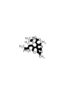 BC(/C=C\C(=C\Cl)c1c([C@H](OC(C)(C)C)C(=O)O)c(C)nc2sc(C)cc12)=C(/C)F